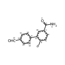 NC(=O)c1ccc(F)c(-c2ccc(C=O)cn2)c1